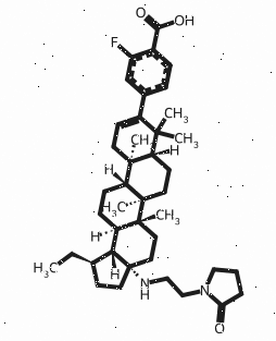 CC[C@@H]1CC[C@]2(NCCN3CCCC3=O)CC[C@]3(C)[C@H](CC[C@@H]4[C@@]5(C)CC=C(c6ccc(C(=O)O)c(F)c6)C(C)(C)[C@@H]5CC[C@]43C)[C@@H]12